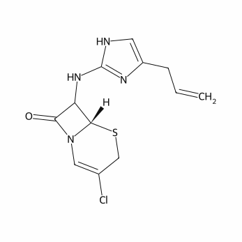 C=CCc1c[nH]c(NC2C(=O)N3C=C(Cl)CS[C@@H]23)n1